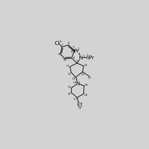 CCCN(CCC)C1(c2ccc(Cl)cc2)CCC(N2CCC(CC)CC2)C(C)C1